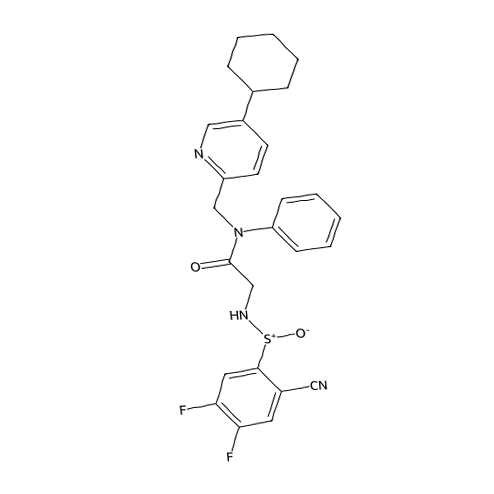 N#Cc1cc(F)c(F)cc1[S+]([O-])NCC(=O)N(Cc1ccc(C2CCCCC2)cn1)c1ccccc1